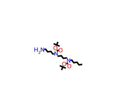 CCCCCN(CCCCN(CCCCN)C(=O)OC(C)(C)C)C(=O)OC(C)(C)C